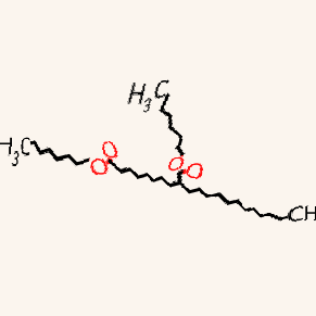 CCCCCCCCCCCCC(CCCCCCCC(=O)OCCCCCCCC)C(=O)OCCCCCCCC